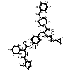 Cn1nccc1C(=O)NC(C(=O)Nc1ccc(CC(NC(=O)NC2CC2)C(=O)N2CCN(Cc3ccccc3)CC2)cc1)C1CCCCC1